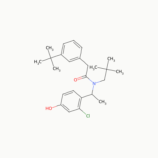 CC(c1ccc(O)cc1Cl)N(CC(C)(C)C)C(=O)Cc1cccc(C(C)(C)C)c1